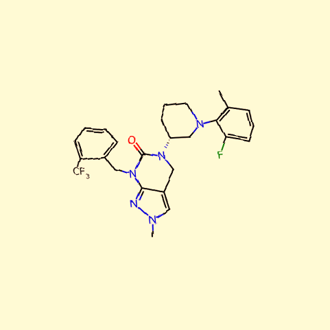 Cc1cccc(F)c1N1CCC[C@@H](N2Cc3cn(C)nc3N(Cc3ccccc3C(F)(F)F)C2=O)C1